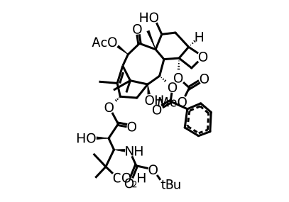 COC(=O)O[C@@]12CO[C@@H]1CC(O)[C@@]1(C)C(=O)[C@H](OC(C)=O)C3=C(C)[C@@H](OC(=O)[C@H](O)[C@@H](NC(=O)OC(C)(C)C)C(C)(C)C(=O)O)C[C@@](O)([C@@H](OC(=O)c4ccccc4)C12)C3(C)C